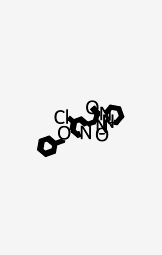 O=C1C(c2cc(Cl)c(OCc3ccccc3)cn2)[N+](=O)N2CCCCN12